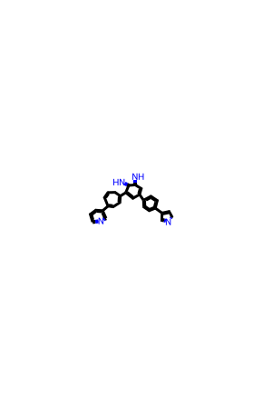 N=C1C=C(c2ccc(C3=CCN=C3)cc2)C=C(C2=CC=C(c3cccnc3)C=CC2)C1=N